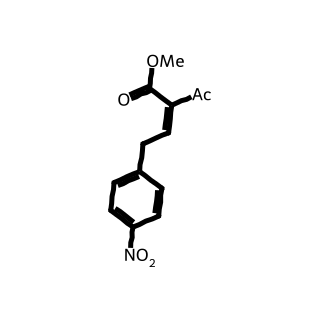 COC(=O)C(=CCc1ccc([N+](=O)[O-])cc1)C(C)=O